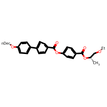 CCCCCCCCCCOc1ccc(-c2ccc(C(=O)Oc3ccc(C(=O)O[C@@H](C)COCC)cc3)cc2)cc1